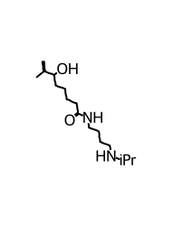 C=C(C)C(O)CCCCC(=O)NCCCCNC(C)C